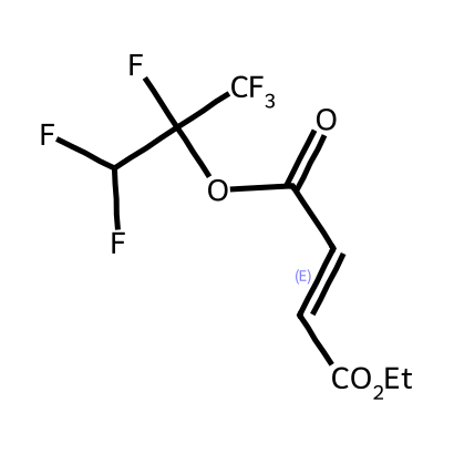 CCOC(=O)/C=C/C(=O)OC(F)(C(F)F)C(F)(F)F